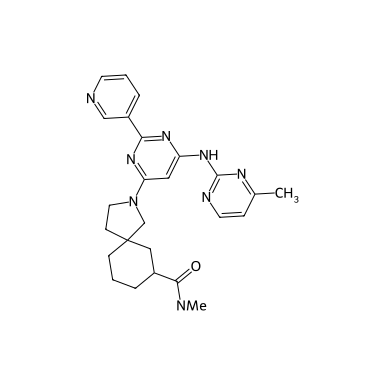 CNC(=O)C1CCCC2(CCN(c3cc(Nc4nccc(C)n4)nc(-c4cccnc4)n3)C2)C1